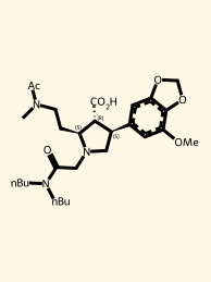 CCCCN(CCCC)C(=O)CN1C[C@H](c2cc(OC)c3c(c2)OCO3)[C@@H](C(=O)O)[C@@H]1CCN(C)C(C)=O